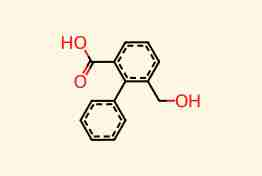 O=C(O)c1cccc(CO)c1-c1ccccc1